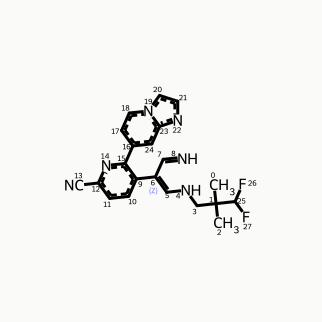 CC(C)(CN/C=C(\C=N)c1ccc(C#N)nc1-c1ccn2ccnc2c1)C(F)F